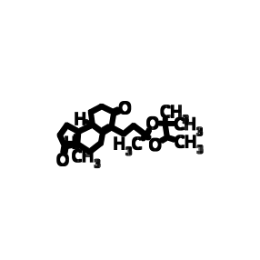 CC1OC(C)(CCC2=C3CC[C@]4(C)C(=O)CC[C@H]4[C@@H]3CCC2=O)OC1(C)C